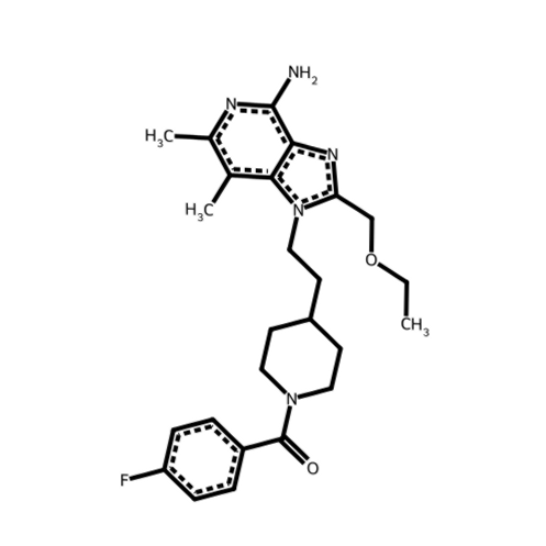 CCOCc1nc2c(N)nc(C)c(C)c2n1CCC1CCN(C(=O)c2ccc(F)cc2)CC1